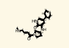 CNCC=CC(=O)N1CC[C@@H](Nc2cc(-c3ccncc3)c[nH]c2=O)C1